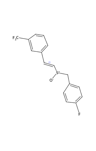 [O-][S+](/C=C/c1cccc(C(F)(F)F)c1)Cc1ccc(F)cc1